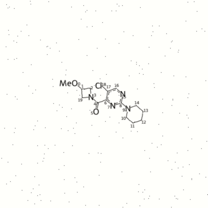 COC1CN(C(=O)c2nc(N3CCCCC3)ncc2Cl)C1